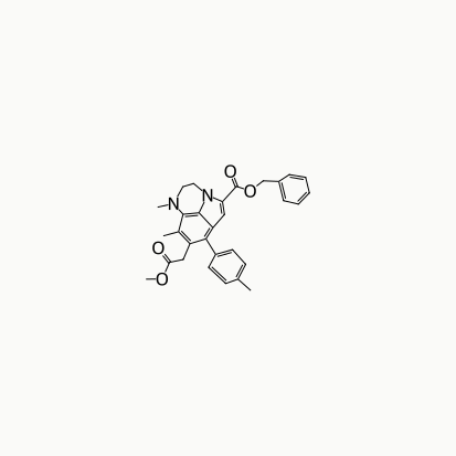 COC(=O)Cc1c(C)c2c3c(cc(C(=O)OCc4ccccc4)n3CCN2C)c1-c1ccc(C)cc1